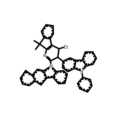 CCC1C2=C(N=C(n3c4ccccc4c4cc5ccccc5cc43)C1c1ccc3c(c1)c1ccccc1n3-c1ccccc1)C(C)(C)c1ccccc12